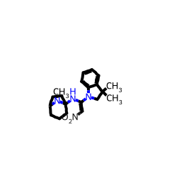 CN1C2CCCC1(NC(=C[N+](=O)[O-])N1CC(C)(C)c3ccccc31)CC2